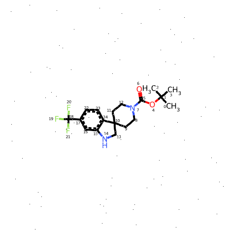 CC(C)(C)OC(=O)N1CCC2(CC1)CNc1cc(C(F)(F)F)ccc12